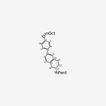 CCCCCCCCOc1ccc(-c2ccc3c(c2)CCC(CCCCC)C3)cc1